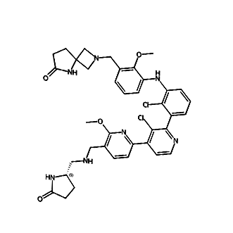 COc1nc(-c2ccnc(-c3cccc(Nc4cccc(CN5CC6(CCC(=O)N6)C5)c4OC)c3Cl)c2Cl)ccc1CNC[C@@H]1CCC(=O)N1